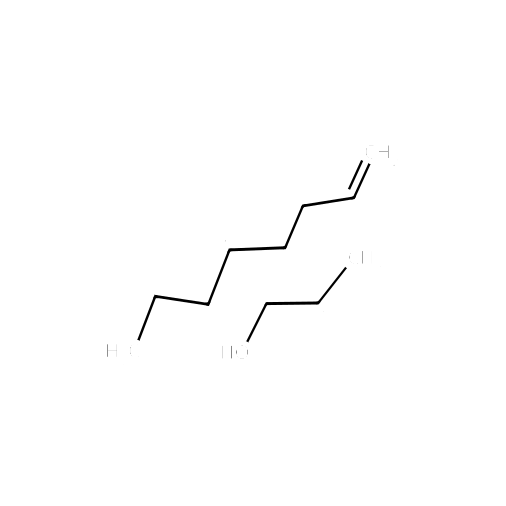 C=CCCCCCC.CCCO